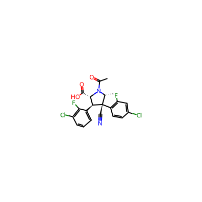 CC(=O)N1[C@@H](C(=O)O)[C@H](c2cccc(Cl)c2F)[C@@](C#N)(c2ccc(Cl)cc2F)[C@H]1C